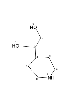 OCC(O)C1CCNCC1